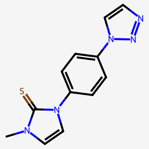 Cn1ccn(-c2ccc(-n3ccnn3)cc2)c1=S